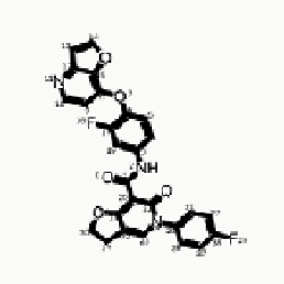 O=C(Nc1ccc(Oc2ccnc3ccoc23)c(F)c1)c1c2c(cn(-c3ccc(F)cc3)c1=O)CCO2